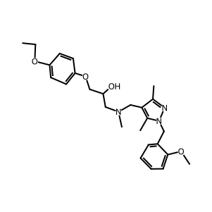 CCOc1ccc(OCC(O)CN(C)Cc2c(C)nn(Cc3ccccc3OC)c2C)cc1